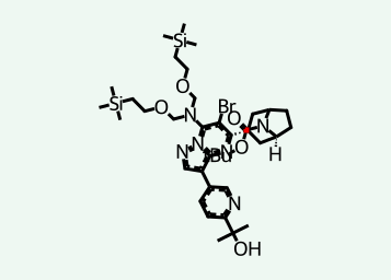 CC(C)(C)OC(=O)N1C2CC[C@H]1C[C@H](c1nc3c(-c4ccc(C(C)(C)O)nc4)cnn3c(N(COCC[Si](C)(C)C)COCC[Si](C)(C)C)c1Br)C2